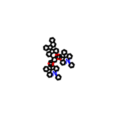 c1ccc(N2c3ccccc3C(c3ccccc3)(c3ccccc3)c3c(-c4cccc5c(-c6cccc7c6-c6ccccc6C76c7ccccc7-c7c6ccc6ccccc76)c6cccc(-c7cccc8c7C(c7ccccc7)(c7ccccc7)c7ccccc7N8c7ccccc7)c6cc45)cccc32)cc1